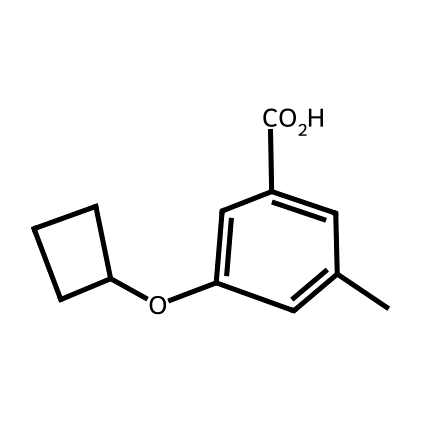 Cc1cc(OC2CCC2)cc(C(=O)O)c1